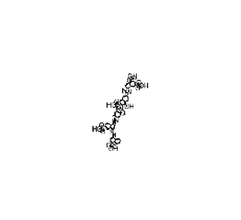 COc1cc(N=Nc2ccc(N=Nc3ccc(S(=O)(=O)O)c4ccccc34)c3cc(S(=O)(=O)O)ccc23)c(C)cc1N=Nc1c(S(=O)(=O)O)cc2cc(-n3nc4ccc5c(S(=O)(=O)O)cc(S(=O)(=O)O)cc5c4n3)ccc2c1O